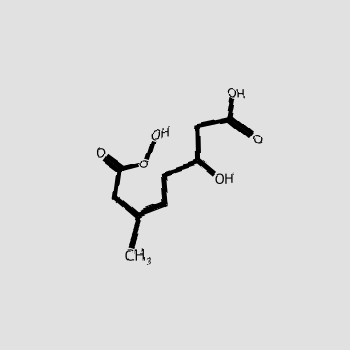 CC(CCC(O)CC(=O)O)CC(=O)OO